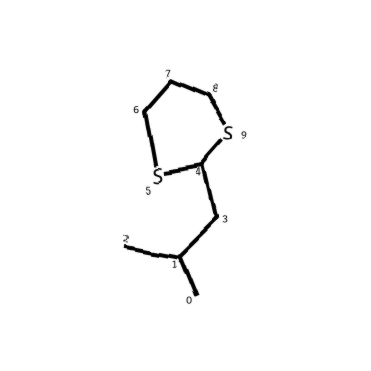 C[C](C)CC1SCCCS1